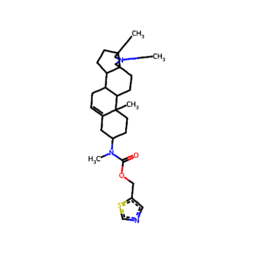 CC1C2CCC3C4CC=C5CC(N(C)C(=O)OCc6cncs6)CCC5(C)C4CCC32CN1C